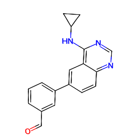 O=Cc1cccc(-c2ccc3ncnc(NC4CC4)c3c2)c1